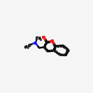 CN(C)Cc1cc2ccccc2oc1=O